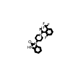 O=c1[nH]c2ccccc2n1C1CCN(/C(=N/I)c2c(F)cccc2C(F)(F)F)CC1